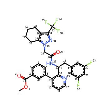 COC(=O)c1cccc(-c2cccnc2[C@H](Cc2cc(F)cc(F)c2)NC(=O)Cn2nc(C(F)(F)F)c3c2CCCC3)c1